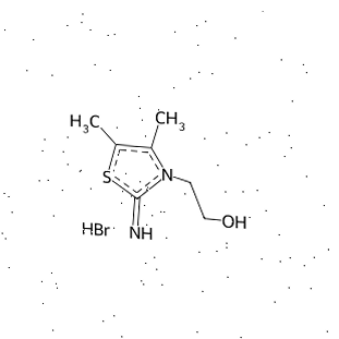 Br.Cc1sc(=N)n(CCO)c1C